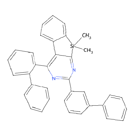 C[Si]1(C)c2ccccc2-c2c(-c3ccccc3-c3ccccc3)nc(-c3cccc(-c4ccccc4)c3)nc21